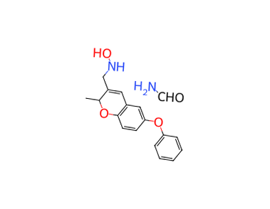 CC1Oc2ccc(Oc3ccccc3)cc2C=C1CNO.NC=O